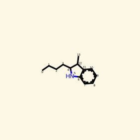 CCCCC1Nc2ccccc2C1C